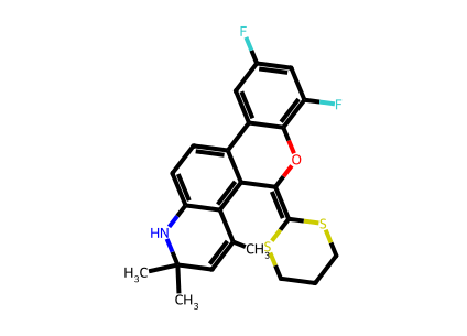 CC1=CC(C)(C)Nc2ccc3c(c21)C(=C1SCCCS1)Oc1c(F)cc(F)cc1-3